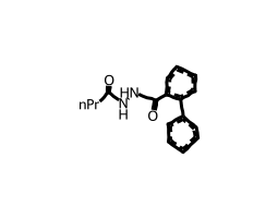 CCCC(=O)NNC(=O)c1ccccc1-c1ccccc1